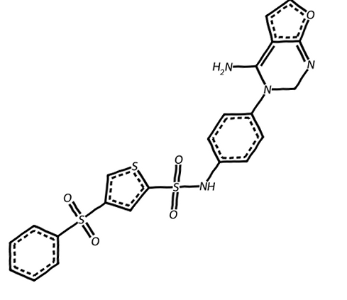 NC1=c2ccoc2=NCN1c1ccc(NS(=O)(=O)c2cc(S(=O)(=O)c3ccccc3)cs2)cc1